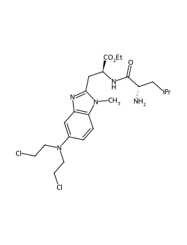 CCOC(=O)[C@H](Cc1nc2cc(N(CCCl)CCCl)ccc2n1C)NC(=O)[C@@H](N)CC(C)C